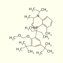 CCC(CC)(Pc1c(C)cccc1N(C(C)C)C(C)C)c1cc(C(C)(C)C)cc(C(C)(C)C)c1OCOC